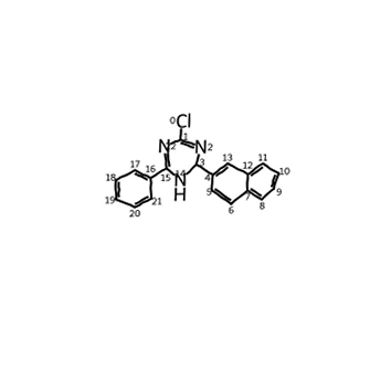 ClC1=NC(c2ccc3ccccc3c2)NC(c2ccccc2)=N1